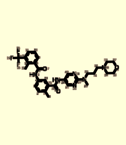 Cc1ccc(NC(=O)c2cccc(C(F)(F)F)c2C)cc1C(=O)Nc1cnc(N(C)CCCN2CCOCC2)nc1